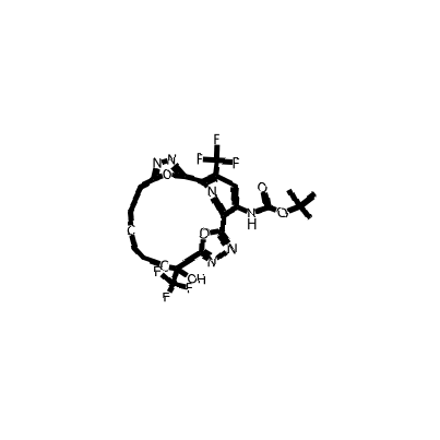 CC(C)(C)OC(=O)Nc1cc(C(F)(F)F)c2nc1-c1nnc(o1)C(O)(C(F)(F)F)CCCCCCc1nnc-2o1